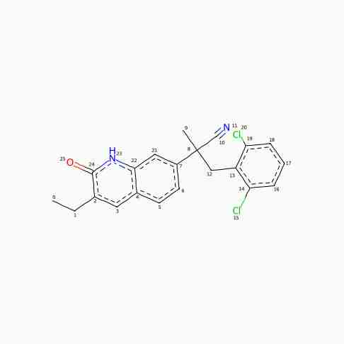 CCc1cc2ccc(C(C)(C#N)Cc3c(Cl)cccc3Cl)cc2[nH]c1=O